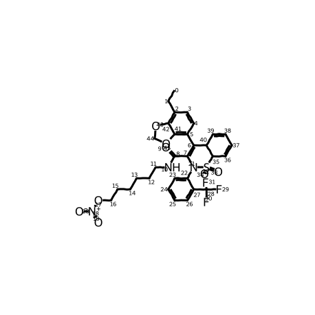 CCc1ccc(C2=C(C(=O)NCCCCCCO[N+](=O)[O-])N(c3ccccc3C(F)(F)F)S(=O)(=O)C3C=CC=CC23)c2c1OCO2